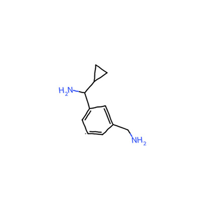 NCc1c[c]cc(C(N)C2CC2)c1